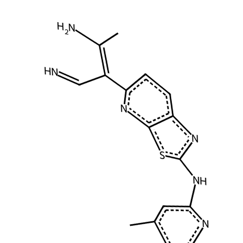 C/C(N)=C(/C=N)c1ccc2nc(Nc3cc(C)ccn3)sc2n1